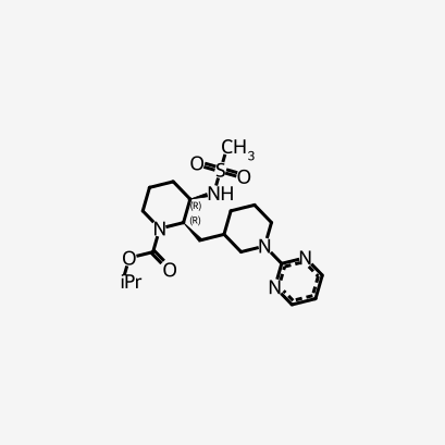 CC(C)OC(=O)N1CCC[C@@H](NS(C)(=O)=O)[C@H]1CC1CCCN(c2ncccn2)C1